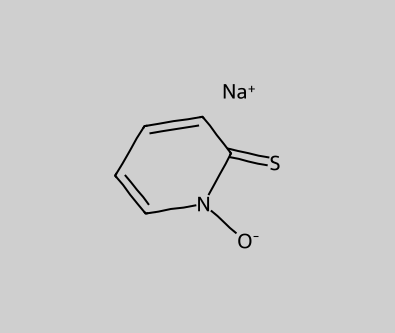 [Na+].[O-]n1ccccc1=S